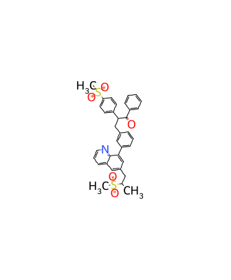 CC(Cc1cc(-c2cccc(CC(C(=O)c3ccccc3)c3ccc(S(C)(=O)=O)cc3)c2)c2ncccc2c1)S(C)(=O)=O